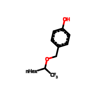 CCCCCCC(OCc1ccc(O)cc1)C(F)(F)F